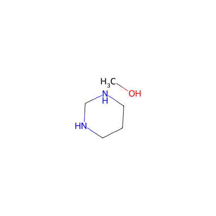 C1CNCNC1.CO